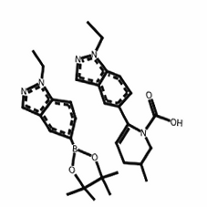 CCn1ncc2cc(B3OC(C)(C)C(C)(C)O3)ccc21.CCn1ncc2cc(C3=CCC(C)CN3C(=O)O)ccc21